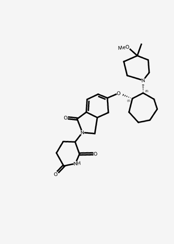 COC1(C)CCN([C@@H]2CCCCC[C@@H]2OC2=CC=C3C(=O)N(C4CCC(=O)NC4=O)CC3C2)CC1